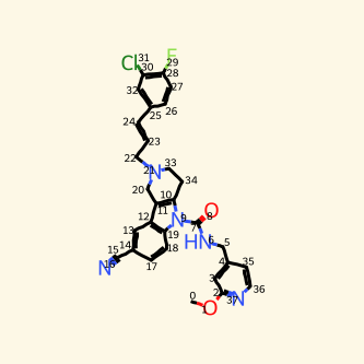 COc1cc(CNC(=O)n2c3c(c4cc(C#N)ccc42)CN(C/C=C/c2ccc(F)c(Cl)c2)CC3)ccn1